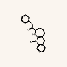 O=C(Oc1ccccc1)C1CCCC2=C(N1)N(Cl)c1ccccc1C2